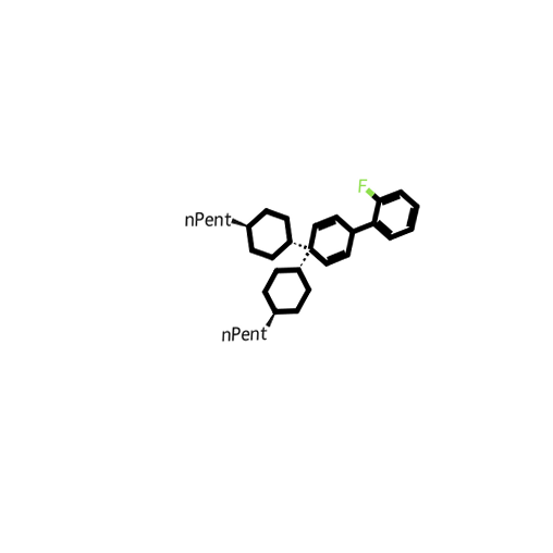 CCCCC[C@H]1CC[C@H](C2([C@H]3CC[C@H](CCCCC)CC3)C=CC(c3ccccc3F)C=C2)CC1